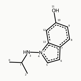 CC(C)Nn1ccc2ccc(O)cc21